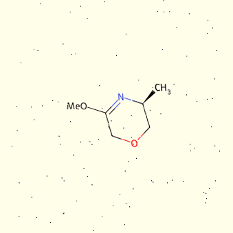 COC1=N[C@@H](C)COC1